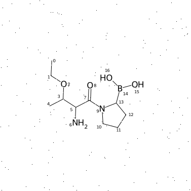 CCOC(C)C(N)C(=O)N1CCCC1B(O)O